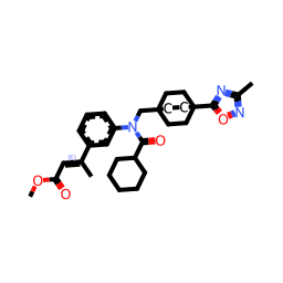 COC(=O)/C=C(\C)c1cccc(N(CC23CCC(c4nc(C)no4)(CC2)CC3)C(=O)C2CCCCC2)c1